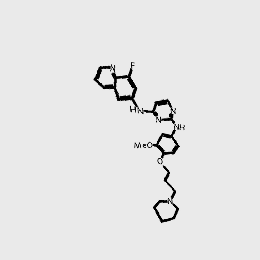 COc1cc(Nc2nccc(Nc3cc(F)c4ncccc4c3)n2)ccc1OCCCN1CCCCC1